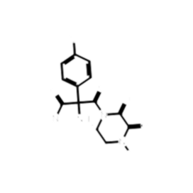 CCN1CCN(C(=O)C(N)(C([NH])=O)c2ccc(O)cc2)C(=O)C1=O